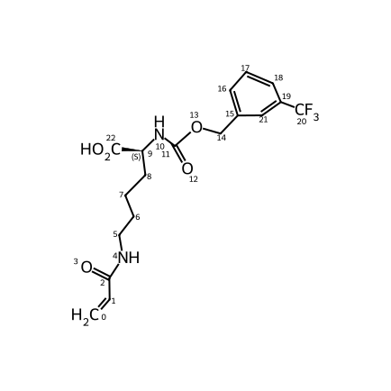 C=CC(=O)NCCCC[C@H](NC(=O)OCc1cccc(C(F)(F)F)c1)C(=O)O